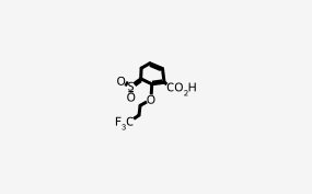 O=C(O)C1=C(OCCC(F)(F)F)C(=S(=O)=O)CC=C1